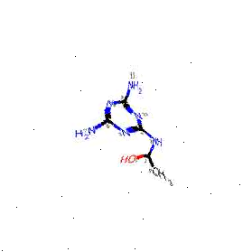 CC(O)Nc1nc(N)nc(N)n1